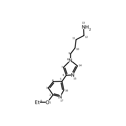 CCOc1ccc(-c2cn(CCCCN)cn2)cn1